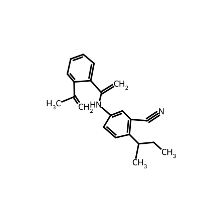 C=C(C)c1ccccc1C(=C)Nc1ccc(C(C)CC)c(C#N)c1